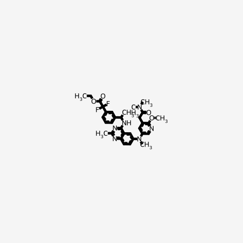 CCOC(=O)C(F)(F)c1cccc(C(C)Nc2nc(C)nc3ccc(N(C)c4cnc(OC)c(CC(=O)N(C)C)c4)cc23)c1